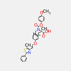 COc1ccc(OC(=O)N(Cc2ccc(OCCc3nc(-c4ccccc4)sc3C)cc2)C(C)(C)C(=O)O)cc1